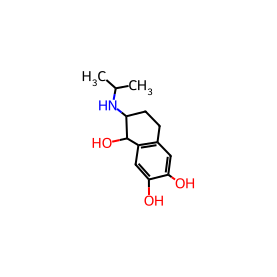 CC(C)NC1CCc2cc(O)c(O)cc2C1O